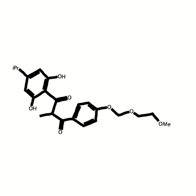 COCCOCOc1ccc(C(=O)C(C)C(=O)c2c(O)cc(C(C)C)cc2O)cc1